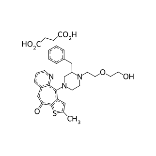 Cc1cc2c(N3CCN(CCOCCO)C(Cc4ccccc4)C3)c3ncccc3cc(=O)c2s1.O=C(O)CCC(=O)O